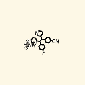 CS(=O)(=O)Nc1cccc(C(c2ccc(F)cc2)C(c2ccc(C#N)cc2)c2cccnc2)n1